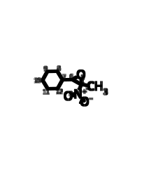 CC1([N+](=O)[O-])OC1C1CCCCC1